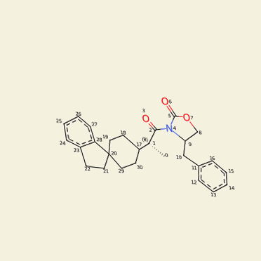 C[C@@H](C(=O)N1C(=O)OCC1Cc1ccccc1)C1CCC2(CCc3ccccc32)CC1